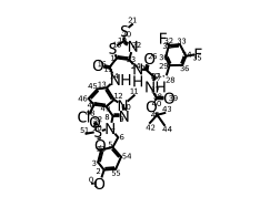 COc1ccc(CN(c2nn(C)c3c(NC(=O)c4sc(SC)nc4NC(=O)[C@H](Cc4cc(F)cc(F)c4)NC(=O)OC(C)(C)C)ccc(Cl)c23)S(C)(=O)=O)cc1